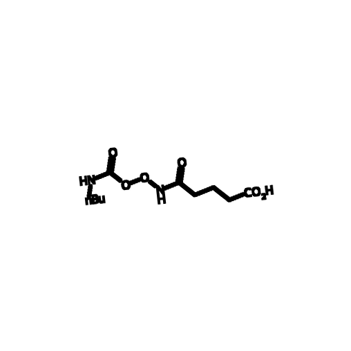 CCCCNC(=O)OONC(=O)CCCC(=O)O